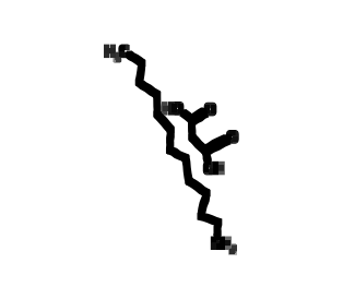 CCCCCCCCCCCCN.O=C(O)CC(=O)O